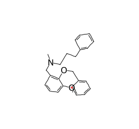 COc1cccc(CN(C)CCCc2ccccc2)c1OCc1ccccc1